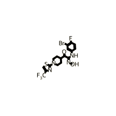 O=C(/C(=N/O)Nc1ccc(F)c(Br)c1)C1CCN(c2nc(C(F)(F)F)cs2)CC1